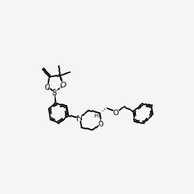 C=C1OB(c2cccc(N3CCO[C@@H](COCc4ccccc4)C3)c2)OC1(C)C